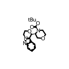 CC(C)(C)OC(=O)N1CCOC[C@H]1C1OCCn2nc3ccccc3c21